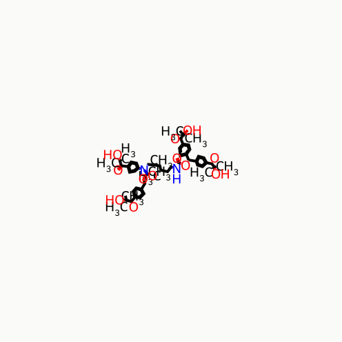 CC(CCNC(=O)OC(c1ccc(C(=O)C(C)(C)O)cc1)c1ccc(C(=O)C(C)(C)O)cc1)CC(C)(C)CN(C(=O)OCc1ccc(C(=O)C(C)(C)O)cc1)c1ccc(C(=O)C(C)(C)O)cc1